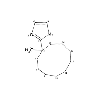 CC1(C2=NC=C[N]2)CCCCCCCCC1